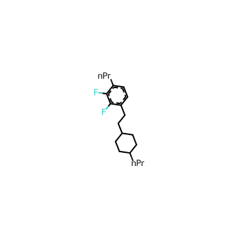 CCCc1ccc(CCC2CCC(CCC)CC2)c(F)c1F